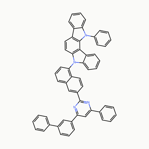 c1ccc(-c2cccc(-c3cc(-c4ccccc4)nc(-c4ccc5c(-n6c7ccccc7c7c6ccc6c8ccccc8n(-c8ccccc8)c67)cccc5c4)n3)c2)cc1